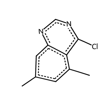 Cc1cc(C)c2c(Cl)ncnc2c1